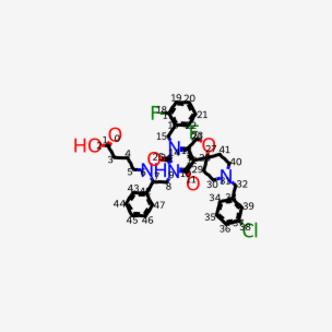 O=C(O)CCCNC(Cn1c(=O)c2c(n(Cc3c(F)cccc3F)c1=O)COC21CCN(Cc2cccc(Cl)c2)CC1)c1ccccc1